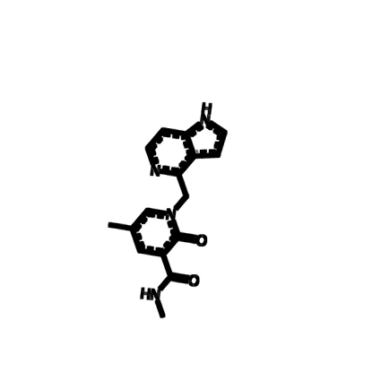 CNC(=O)c1cc(C)cn(Cc2nccc3[nH]ccc23)c1=O